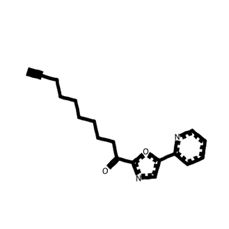 C#CCCCCCCCC(=O)c1ncc(-c2ccccn2)o1